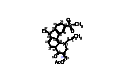 C=CCN1C/C(=N/OC(C)=O)C(=O)c2ccc3c(c21)c1cc(S(C)(=O)=O)ccc1n3CC